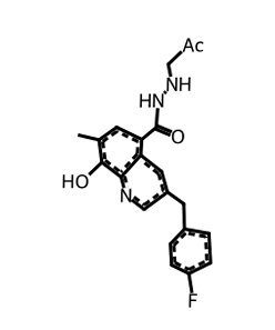 CC(=O)CNNC(=O)c1cc(C)c(O)c2ncc(Cc3ccc(F)cc3)cc12